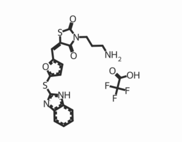 NCCCN1C(=O)SC(=Cc2ccc(Sc3nc4ccccc4[nH]3)o2)C1=O.O=C(O)C(F)(F)F